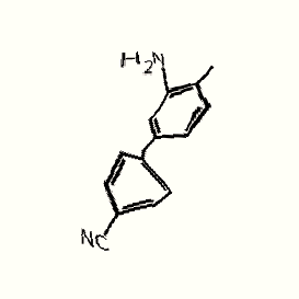 Cc1ccc(-c2ccc(C#N)cc2)cc1N